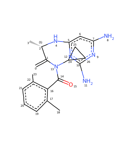 C=C([C@H](C)Nc1cc(N)nc(N)n1)N(C(=O)c1c(C)cccc1C)C1CC1